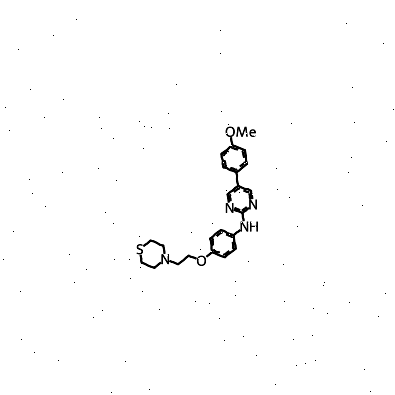 COc1ccc(-c2cnc(Nc3ccc(OCCN4CCSCC4)cc3)nc2)cc1